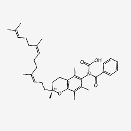 CC(C)=CCCC(C)=CCCC(C)=CCC[C@]1(C)CCc2c(C)c(N(C(=O)O)C(=O)c3ccccc3)c(C)c(C)c2O1